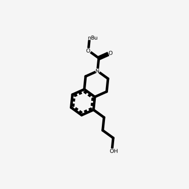 CCCCOC(=O)N1CCc2c(CCCO)cccc2C1